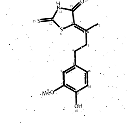 COc1cc(CCC(C)=C2SC(=S)NC2=O)ccc1O